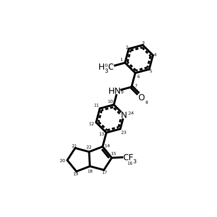 Cc1ccccc1C(=O)Nc1ccc(C2=C(C(F)(F)F)CC3CCCC23)cn1